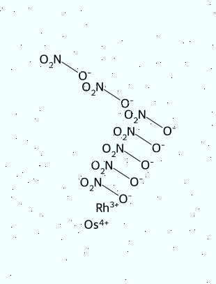 O=[N+]([O-])[O-].O=[N+]([O-])[O-].O=[N+]([O-])[O-].O=[N+]([O-])[O-].O=[N+]([O-])[O-].O=[N+]([O-])[O-].O=[N+]([O-])[O-].[Os+4].[Rh+3]